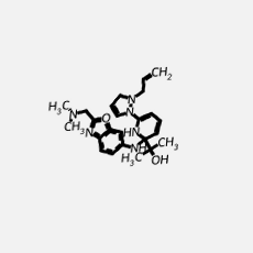 C=CCN1CC=CN1C1=CC=CC(Nc2ccc3nc(CN(C)C)oc3c2)(C(C)(C)O)N1